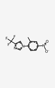 Cc1cc([N+](=O)[O-])ccc1-n1cnc(C(F)(F)F)c1